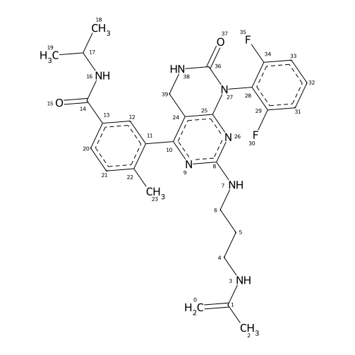 C=C(C)NCCCNc1nc(-c2cc(C(=O)NC(C)C)ccc2C)c2c(n1)N(c1c(F)cccc1F)C(=O)NC2